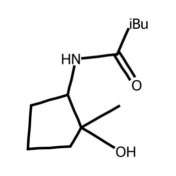 CCC(C)C(=O)NC1CCCC1(C)O